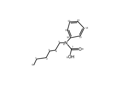 CCCCCCN(C(=O)O)c1ccccc1